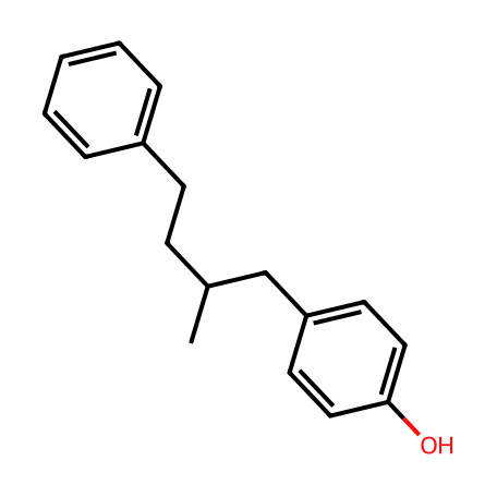 CC(CCc1ccccc1)Cc1ccc(O)cc1